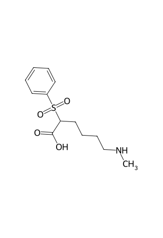 CNCCCCC(C(=O)O)S(=O)(=O)c1ccccc1